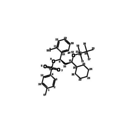 Cc1ccc(S(=O)(=O)O[C@H](C[C@@H](O[Si](C)(C)C(C)(C)C)C2CCCCC2)c2ccccc2I)cc1